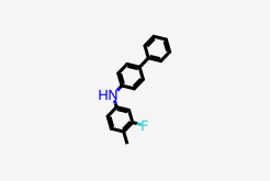 Cc1ccc(Nc2ccc(-c3ccccc3)cc2)cc1F